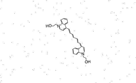 OCCN1C=C/C(=C/C=C/C=C/C=C/c2cc[n+](CCO)c3ccccc23)c2ccccc21